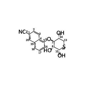 N#Cc1ccc2c(O[C@@H]3[C@@H](O)[C@@H](O)SC[C@H]3O)cccc2c1